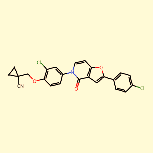 N#CC1(COc2ccc(-n3ccc4oc(-c5ccc(Cl)cc5)cc4c3=O)cc2Cl)CC1